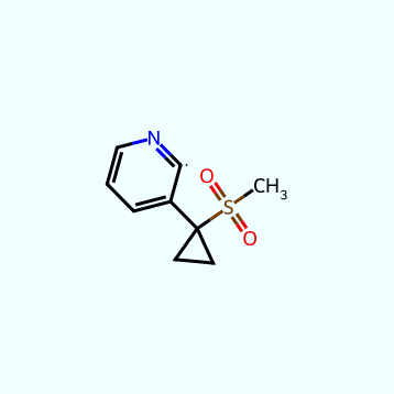 CS(=O)(=O)C1(c2[c]nccc2)CC1